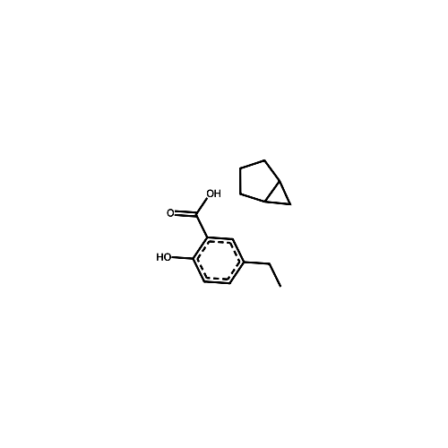 C1CC2CC2C1.CCc1ccc(O)c(C(=O)O)c1